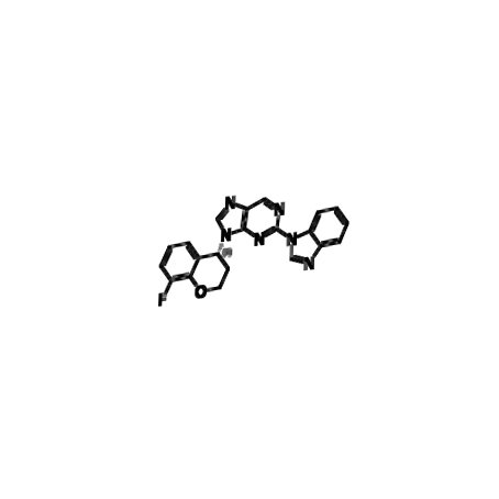 Fc1cccc2c1OCC[C@H]2n1cnc2cnc(-n3cnc4ccccc43)nc21